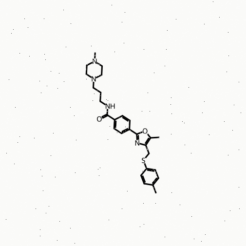 Cc1ccc(SCc2nc(-c3ccc(C(=O)NCCCN4CCN(C)CC4)cc3)oc2C)cc1